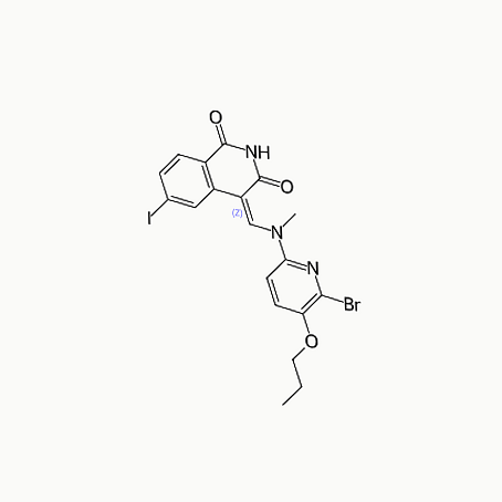 CCCOc1ccc(N(C)/C=C2\C(=O)NC(=O)c3ccc(I)cc32)nc1Br